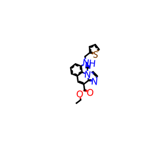 CCOC(=O)C1=Cc2cccc(NCc3cccs3)c2[N+]2(C#N)C=CN=C12